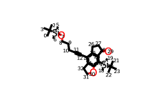 CC(C)(C)[Si](C)(C)OCCCC#Cc1c2c(c([Si](C)(C)C(C)(C)C)c3c1CCC3=O)OCC2